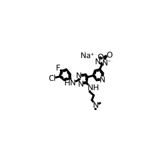 CN(C)CCCNc1nc(Nc2ccc(F)c(Cl)c2)ncc1-c1cncc(-c2noc(=O)[n-]2)c1.[Na+]